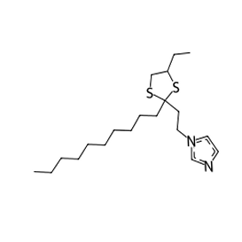 CCCCCCCCCCC1(CCn2ccnc2)SCC(CC)S1